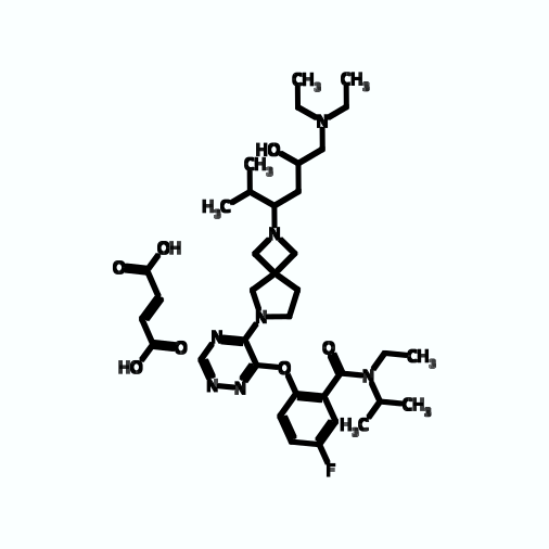 CCN(CC)CC(O)CC(C(C)C)N1CC2(CCN(c3ncnnc3Oc3ccc(F)cc3C(=O)N(CC)C(C)C)C2)C1.O=C(O)/C=C/C(=O)O